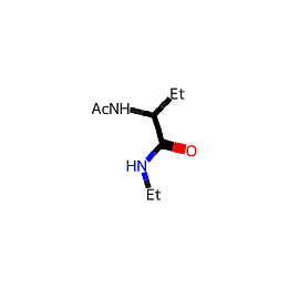 CCNC(=O)C(CC)NC(C)=O